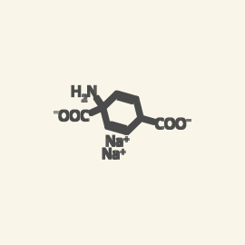 NC1(C(=O)[O-])C=CC(C(=O)[O-])C=C1.[Na+].[Na+]